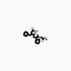 COC(=O)Cn1c(C)c(Cc2n[nH]c(=O)cc2Cc2ccccc2)c2ccccc21